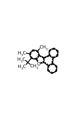 Cc1cc(C)c2c(oc3c4ccccc4c4ccccc4c32)c1C(C)(C)C